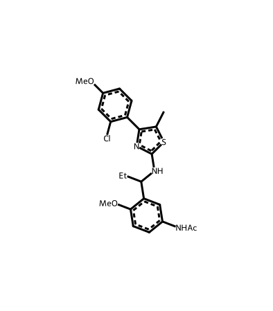 CCC(Nc1nc(-c2ccc(OC)cc2Cl)c(C)s1)c1cc(NC(C)=O)ccc1OC